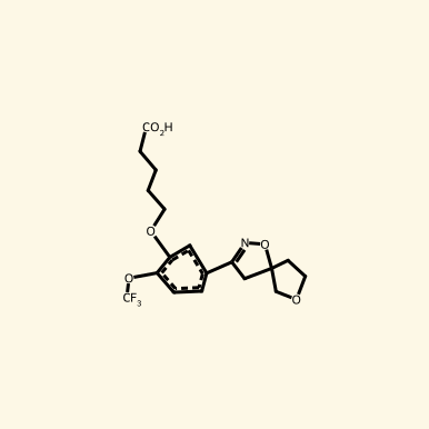 O=C(O)CCCCOc1cc(C2=NOC3(CCOC3)C2)ccc1OC(F)(F)F